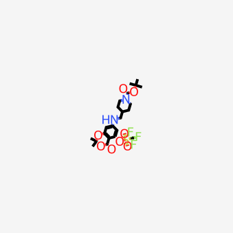 CC(C)(C)OC(=O)N1CCC(CNc2cc3c(c(OS(=O)(=O)C(F)(F)F)c2)C(=O)OC(C)(C)O3)CC1